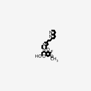 COc1ccc(C(CC(=O)O)N2CCn3cc(C=Cc4ccc5cccnc5n4)cc3C2=O)cc1F